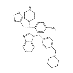 Cc1ccc(C(CC2=COCO2)(c2nc3ccccc3n2Cc2ccc(CN3CCCCC3)cc2)N2CCNCC2)cc1